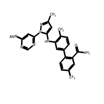 CNc1cc(-n2nc(C)cc2Nc2cc(-c3ccc(C(F)(F)F)cc3C(N)=O)ccc2C)ncn1